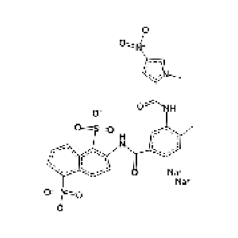 Cc1ccc(C(=O)Nc2ccc3c(S(=O)(=O)[O-])cccc3c2S(=O)(=O)[O-])cc1NC(=O)c1cc([N+](=O)[O-])cn1C.[Na+].[Na+]